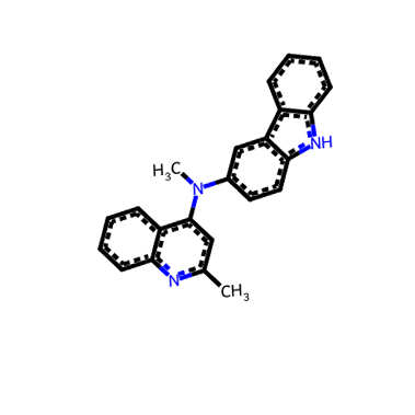 Cc1cc(N(C)c2ccc3[nH]c4ccccc4c3c2)c2ccccc2n1